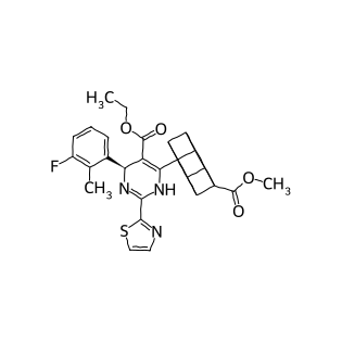 CCOC(=O)C1=C(C23C4C5C2C2C3C4C52C(=O)OC)NC(c2nccs2)=N[C@H]1c1cccc(F)c1C